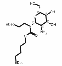 CCCCCCCCCCCCCCOC(=O)N(CCCCCCCCCCCC)[C@@H]1O[C@H](CO)[C@@H](O)[C@H](O)[C@H]1N